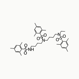 CCN(CCCCN(CCCCNS(=O)(=O)c1c(C)cc(C)cc1C)S(=O)(=O)c1c(C)cc(C)cc1C)S(=O)(=O)c1c(C)cc(C)cc1C